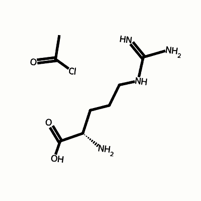 CC(=O)Cl.N=C(N)NCCC[C@H](N)C(=O)O